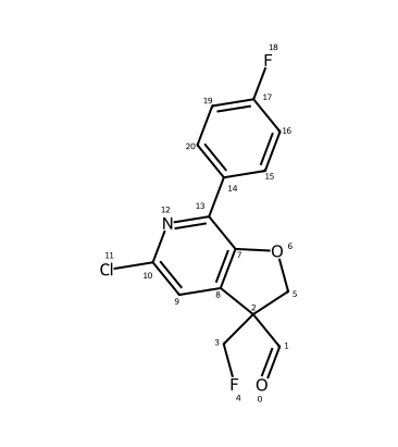 O=CC1(CF)COc2c1cc(Cl)nc2-c1ccc(F)cc1